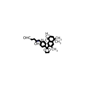 Cc1cc2c(cc1C1(c3ccc(/C=C(\O)CCC=O)cc3)OCCO1)C(C)(C)C=CC2(C)C